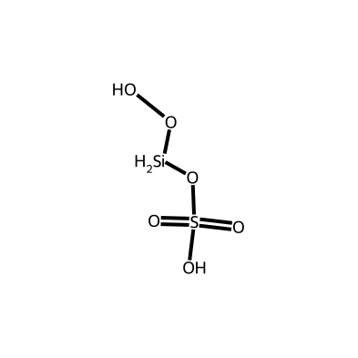 O=S(=O)(O)O[SiH2]OO